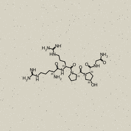 N=C(N)NCCC[C@@H](N)C(=O)N[C@@H](CCCNC(=N)N)C(=O)N1CCC[C@H]1C(=O)N1C[C@H](O)C[C@H]1C(=O)NCC(N)=O